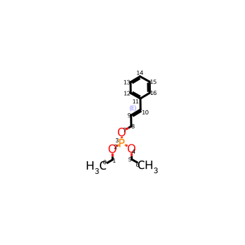 CCOP(OCC)OC/C=C/c1ccccc1